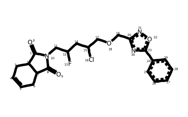 O=C1C2CC=CCC2C(=O)N1CC(F)CC(Cl)COCc1noc(-c2ccccc2)n1